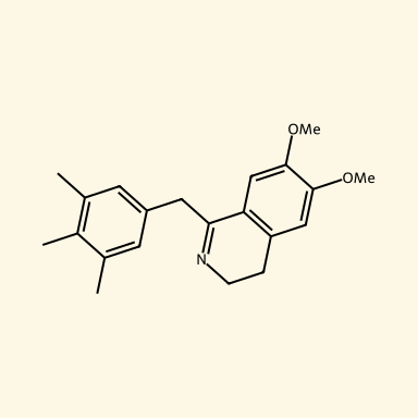 COc1cc2c(cc1OC)C(Cc1cc(C)c(C)c(C)c1)=NCC2